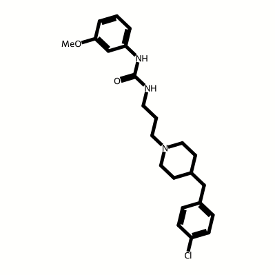 COc1cccc(NC(=O)NCCCN2CCC(Cc3ccc(Cl)cc3)CC2)c1